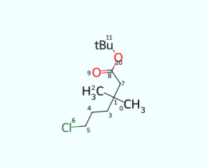 CC(C)(CCCCl)CC(=O)OC(C)(C)C